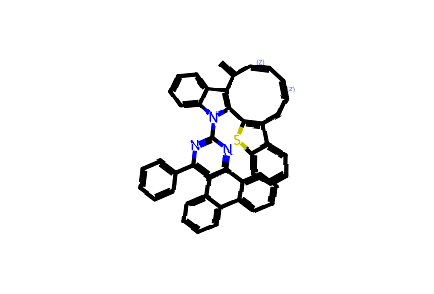 C=C1/C=C\C=C/Cc2c(sc3ccccc23)-c2c1c1ccccc1n2-c1nc(-c2ccccc2)c2c3ccccc3c3ccccc3c2n1